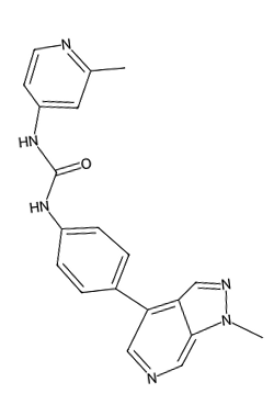 Cc1cc(NC(=O)Nc2ccc(-c3cncc4c3cnn4C)cc2)ccn1